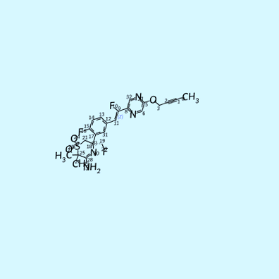 CC#CCOc1cnc(/C(F)=C/c2ccc(F)c([C@]3(CF)CS(=O)(=O)C(C)(C)C(N)=N3)c2)cn1